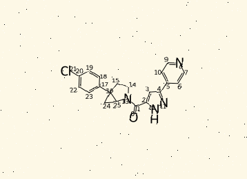 O=C(c1cc(-c2ccncc2)n[nH]1)N1CCC2(c3ccc(Cl)cc3)CC12